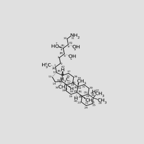 C[C@H](CC[C@@H](O)[C@@H](O)[C@@H](O)CN)[C@H]1CC[C@]2(C)[C@H]3CC[C@@H]4[C@@]5(C)CCCC(C)(C)[C@@H]5CC[C@@]4(C)[C@]3(C)CC[C@@H]12